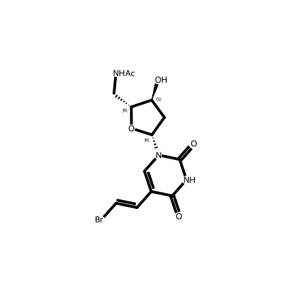 CC(=O)NC[C@H]1O[C@@H](n2cc(C=CBr)c(=O)[nH]c2=O)C[C@@H]1O